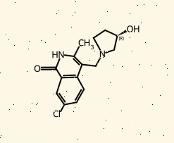 Cc1[nH]c(=O)c2cc(Cl)ccc2c1CN1CC[C@@H](O)C1